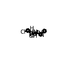 Cc1[nH]c(C(=O)N[C@H](CO)c2cccc(Cl)c2)c(C)c1-c1ccnc(-c2ccccc2)n1